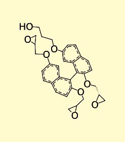 OCCCOc1ccc2ccc(OC[C@@H]3CO3)c(-c3c(OCC4CO4)ccc4ccc(OCC5CO5)cc34)c2c1